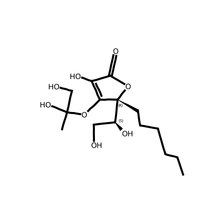 CCCCCC[C@]1([C@@H](O)CO)OC(=O)C(O)=C1OC(C)(O)CO